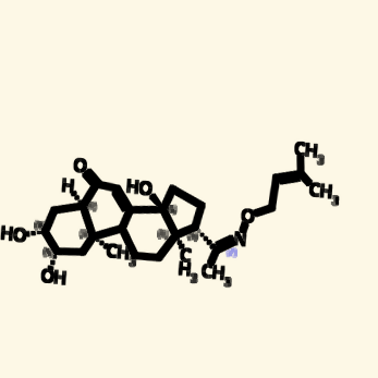 CC(C)=CCO/N=C(/C)[C@H]1CC[C@@]2(O)C3=CC(=O)[C@@H]4C[C@@H](O)[C@@H](O)C[C@]4(C)C3CC[C@]12C